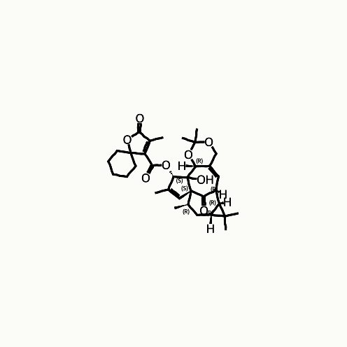 CC1=C[C@]23C(=O)[C@@H](C=C4COC(C)(C)O[C@H]4C2(O)[C@H]1OC(=O)C1=C(C)C(=O)OC12CCCCC2)[C@H]1[C@@H](C[C@H]3C)C1(C)C